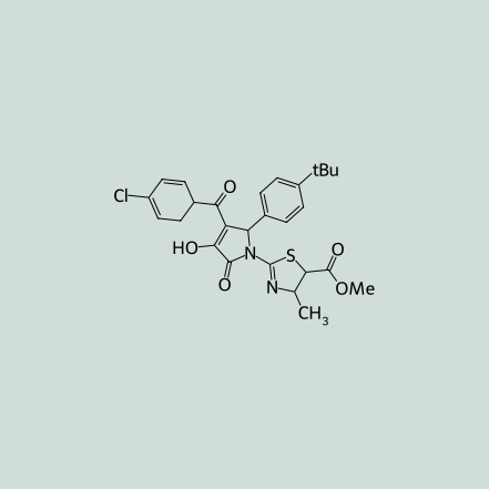 COC(=O)C1SC(N2C(=O)C(O)=C(C(=O)C3C=CC(Cl)=CC3)C2c2ccc(C(C)(C)C)cc2)=NC1C